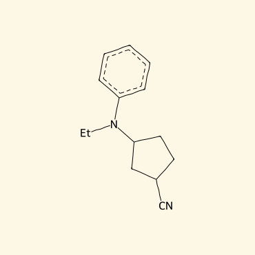 CCN(c1ccccc1)C1CCC(C#N)C1